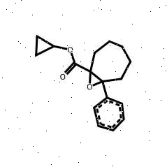 O=C(OC1CC1)C12CCCCCC1(c1ccccc1)O2